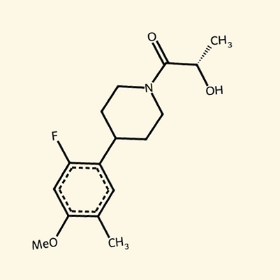 COc1cc(F)c(C2CCN(C(=O)[C@H](C)O)CC2)cc1C